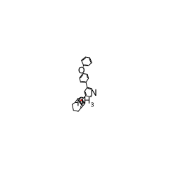 CN1C2C=C(c3cncc(-c4ccc(Oc5ccccc5)cc4)c3)CC1CCC2